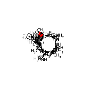 CC[C@H](C)C1NC(=O)[C@@H](CCCNC(=N)N)NC(=O)[C@H](CC(C)C)NC(=O)[C@H]([C@H](O)C(C)C)NC(=O)[C@@H](NC(=O)[C@H](CC(C)C)NC(=O)[C@@H](NC(=O)OC(C)(C)C)[C@@H](C)OC)[C@@H](c2ccccc2)OC(=O)[C@H](CO)NC(=O)[C@H]([C@H](O)C(N)=O)NC(=O)CNC(=O)C([C@H](C)O)NC1=O